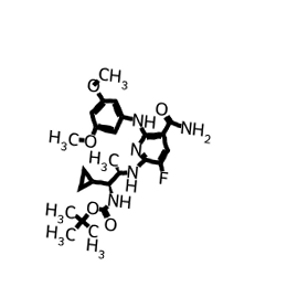 COc1cc(Nc2nc(N[C@H](C)[C@@H](NC(=O)OC(C)(C)C)C3CC3)c(F)cc2C(N)=O)cc(OC)c1